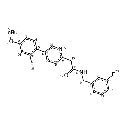 CCCCOc1ccc(-c2ccc(CC(=O)NCc3cccc(F)c3)nc2)c(F)c1